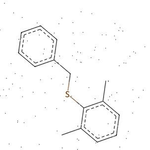 [CH2]c1cccc(C)c1SCc1ccccc1